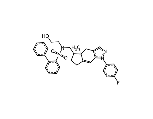 C[C@]12Cc3cnn(-c4ccc(F)cc4)c3C=C1CCC2CN(CCO)S(=O)(=O)c1ccccc1-c1ccccc1